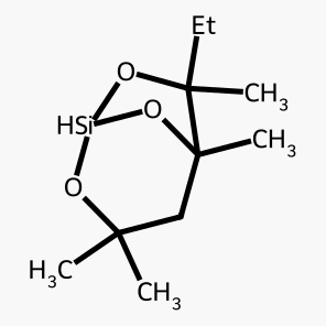 CCC1(C)O[SiH]2OC(C)(C)CC1(C)O2